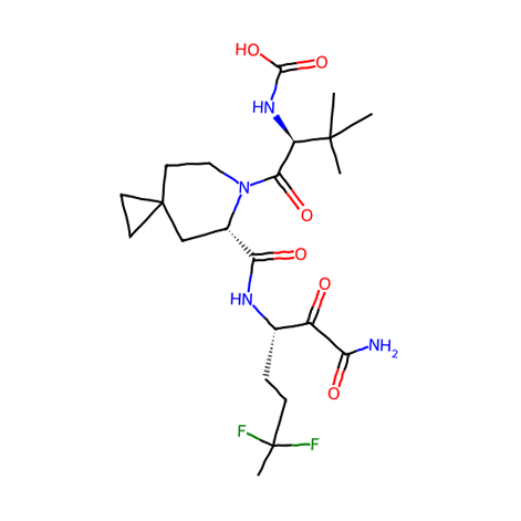 CC(F)(F)CC[C@H](NC(=O)[C@@H]1CC2(CCN1C(=O)[C@@H](NC(=O)O)C(C)(C)C)CC2)C(=O)C(N)=O